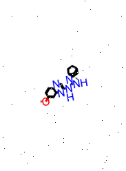 COc1ccc2ncc(NC3=N[C@]4(CN3)CC3CCC4CC3)nc2c1